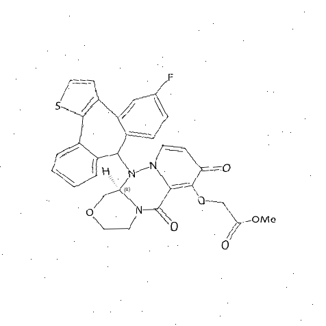 COC(=O)COc1c2n(ccc1=O)N(C1c3ccc(F)cc3-c3ccsc3-c3ccccc31)[C@@H]1COCCN1C2=O